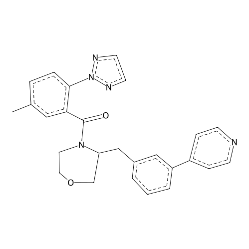 Cc1ccc(-n2nccn2)c(C(=O)N2CCOCC2Cc2cccc(-c3ccncc3)c2)c1